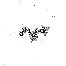 CCOc1c(OCCCN(C=O)OCc2ccccc2)cc(C2CCC(c3cc(OC)c(OC)c(OC)c3)O2)cc1S(C)(=O)=O